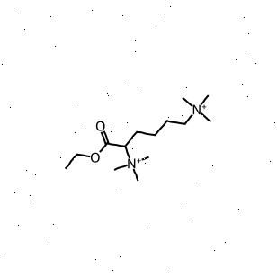 CCOC(=O)C(CCCC[N+](C)(C)C)[N+](C)(C)C